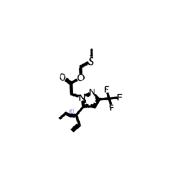 C=C/C(=C\C)c1cc(C(F)(F)F)nn1CC(=O)OCSC